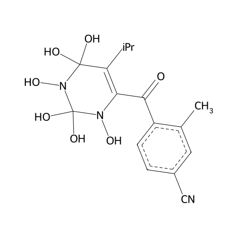 Cc1cc(C#N)ccc1C(=O)C1=C(C(C)C)C(O)(O)N(O)C(O)(O)N1O